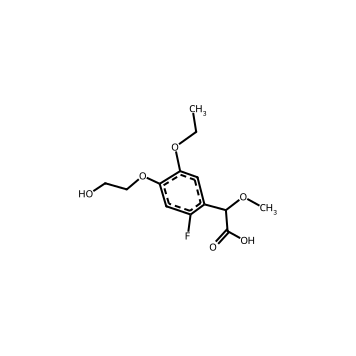 CCOc1cc(C(OC)C(=O)O)c(F)cc1OCCO